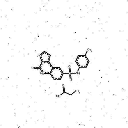 CCC(=O)O.Cc1ccc(NS(=O)(=O)c2ccc3[nH]c(=O)c4[nH]ccc4c3c2)cc1